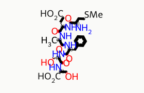 CSCC[C@H](N)C(=O)N[C@@H](CCC(=O)O)C(=O)N[C@@H](C)C(=O)N[C@@H](Cc1ccccc1)C(=O)N[C@@H](CO)C(=O)N[C@@H](CO)C(=O)O